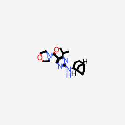 CC(C)c1nc(N[C@@H]2CC[C@H]3CC[C@@H]2C3)ncc1C(=O)N1CCOCC1